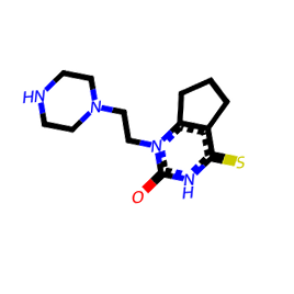 O=c1[nH]c(=S)c2c(n1CCN1CCNCC1)CCC2